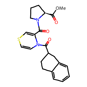 COC(=O)[C@@H]1CCCN1C(=O)C1=CSC=CN1C(=O)C1CCc2ccccc2C1